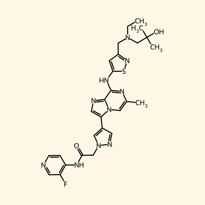 CCN(Cc1cc(Nc2nc(C)cn3c(-c4cnn(CC(=O)Nc5ccncc5F)c4)cnc23)sn1)CC(C)(C)O